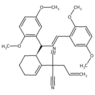 C=CCC(C#N)(C#N)C1=CCCC[C@H]1C(/C=C/c1cc(OC)ccc1OC)c1cc(OC)ccc1OC